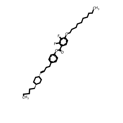 CCCCCCCCCCOc1ccc(C(=O)Oc2ccc(CCC=C[C@H]3CC[C@H](CCCCC)CC3)cc2)c(F)c1F